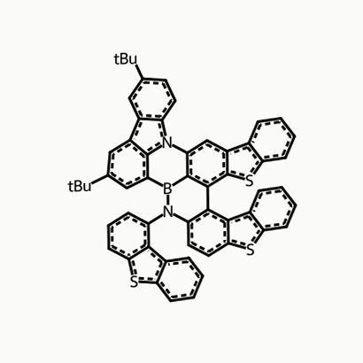 CC(C)(C)c1ccc2c(c1)c1cc(C(C)(C)C)cc3c1n2-c1cc2c(sc4ccccc42)c2c1B3N(c1cccc3sc4ccccc4c13)c1ccc3sc4ccccc4c3c1-2